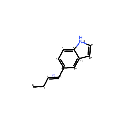 CC/C=C/c1ccc2[nH]ccc2c1